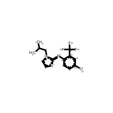 CC(C)Cn1ccsc1=Nc1ccc(Cl)cc1C(F)(F)F